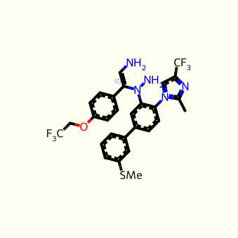 CSc1cccc(-c2ccc(-n3cc(C(F)(F)F)nc3C)c(N(N)/C(=C\N)c3ccc(OCC(F)(F)F)cc3)c2)c1